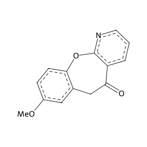 COc1ccc2c(c1)CC(=O)c1cccnc1O2